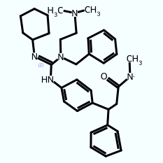 C[N]C(=O)CC(c1ccccc1)c1ccc(N/C(=N/C2CCCCC2)N(CCN(C)C)Cc2ccccc2)cc1